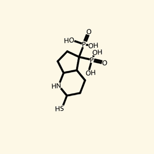 O=P(O)(O)C1(P(=O)(O)O)CCC2NC(S)CCC21